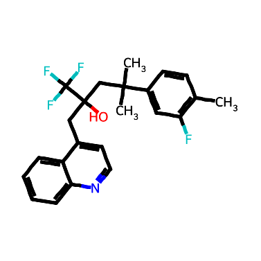 Cc1ccc(C(C)(C)CC(O)(Cc2ccnc3ccccc23)C(F)(F)F)cc1F